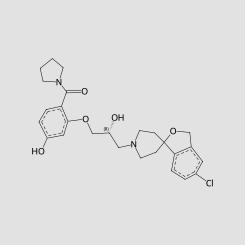 O=C(c1ccc(O)cc1OC[C@H](O)CN1CCC2(CC1)OCc1cc(Cl)ccc12)N1CCCC1